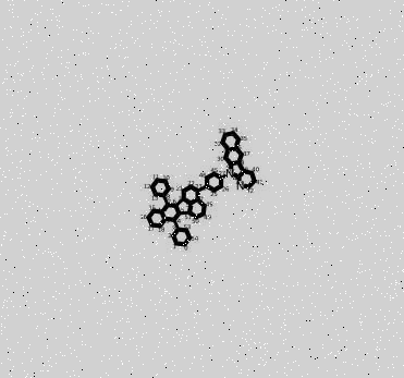 c1ccc(-c2c3c(c(-c4ccccc4)c4ccccc24)-c2ccc(-c4ccc(-n5c6cc7ccccc7cc6c6cccnc65)cc4)c4cccc-3c24)cc1